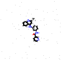 O=C(N[C@@H]1CCC[C@H](Nc2cc(C(F)(F)F)nc3ccccc23)C1)c1cccnc1